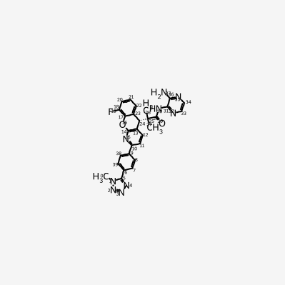 Cn1nnnc1-c1ccc(-c2ccc3c(n2)Oc2c(F)cccc2[C@@H]3C(C)(C)C(=O)Nc2nccnc2N)cc1